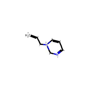 C=CCN1C=CC=NC1